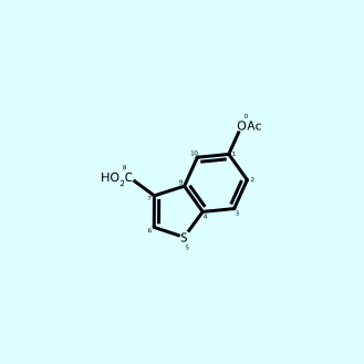 CC(=O)Oc1ccc2scc(C(=O)O)c2c1